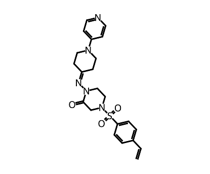 C=Cc1ccc(S(=O)(=O)N2CCN(N=C3CCN(c4ccncc4)CC3)C(=O)C2)cc1